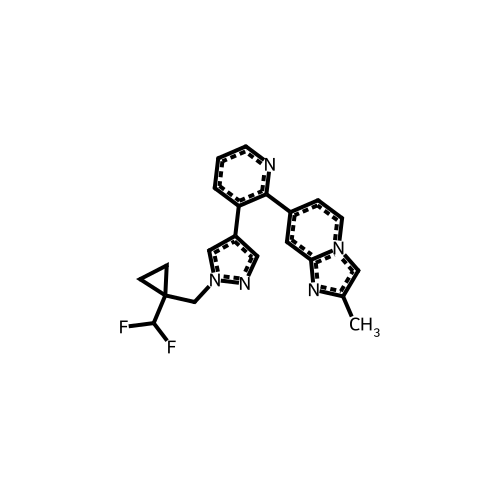 Cc1cn2ccc(-c3ncccc3-c3cnn(CC4(C(F)F)CC4)c3)cc2n1